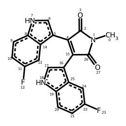 CN1C(=O)C(c2c[nH]c3ccc(F)cc23)=C(c2c[nH]c3ccc(F)cc23)C1=O